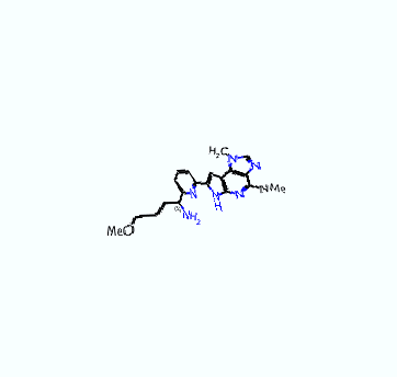 CNc1nc2[nH]c(-c3cccc([C@@H](N)CCCOC)n3)cc2c2c1ncn2C